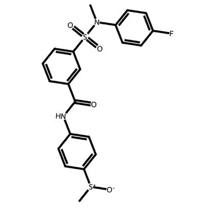 CN(c1ccc(F)cc1)S(=O)(=O)c1cccc(C(=O)Nc2ccc([S+](C)[O-])cc2)c1